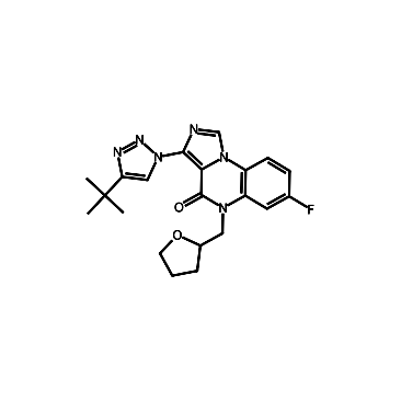 CC(C)(C)c1cn(-c2ncn3c2c(=O)n(CC2CCCO2)c2cc(F)ccc23)nn1